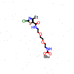 CCc1nc(Cl)sc1C(=O)NCCOCCOCCNC(=O)OC(C)(C)C